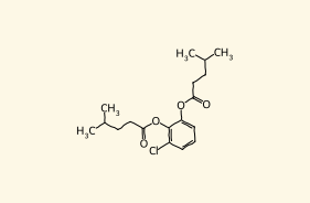 CC(C)CCC(=O)Oc1cccc(Cl)c1OC(=O)CCC(C)C